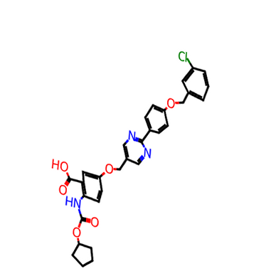 O=C(Nc1ccc(OCc2cnc(-c3ccc(OCc4cccc(Cl)c4)cc3)nc2)cc1C(=O)O)OC1CCCC1